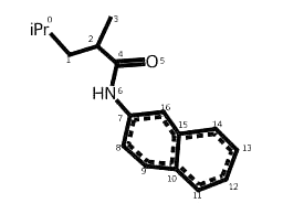 CC(C)CC(C)C(=O)Nc1ccc2ccccc2c1